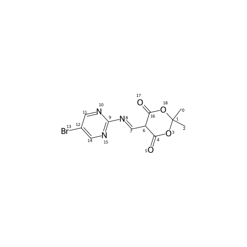 CC1(C)OC(=O)C(C=Nc2ncc(Br)cn2)C(=O)O1